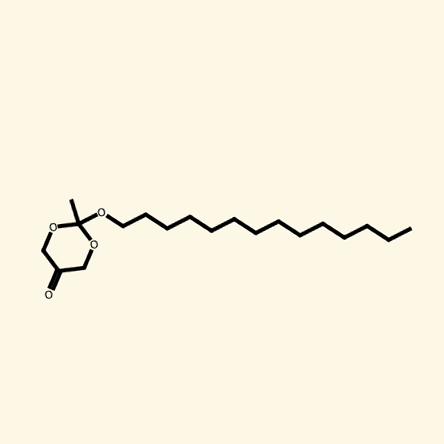 CCCCCCCCCCCCCCOC1(C)OCC(=O)CO1